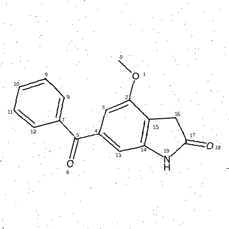 COc1cc(C(=O)c2ccccc2)cc2c1CC(=O)N2